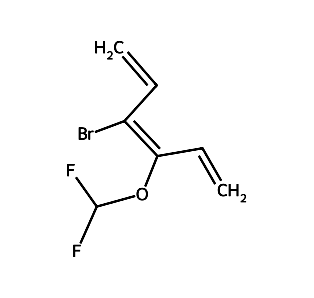 C=C/C(Br)=C(\C=C)OC(F)F